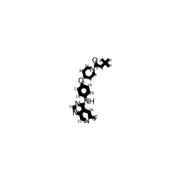 CC(C)(C)CC(=O)N1CCC(Oc2ccc(Nc3ncnc4cnc(F)cc34)cc2)CC1